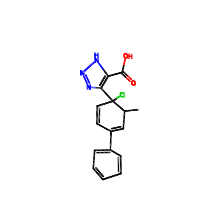 CC1C=C(c2ccccc2)C=CC1(Cl)c1nn[nH]c1C(=O)O